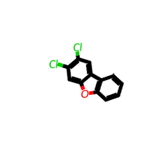 Clc1cc2oc3ccc[c]c3c2cc1Cl